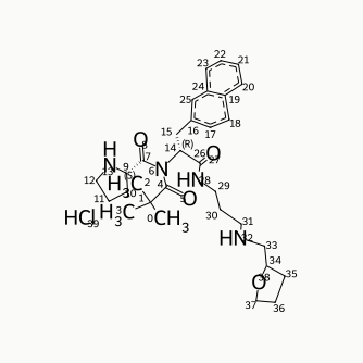 CC(C)(C)C(=O)N(C(=O)[C@@H]1CCCN1)[C@H](Cc1ccc2ccccc2c1)C(=O)NCCCNCC1CCCO1.Cl